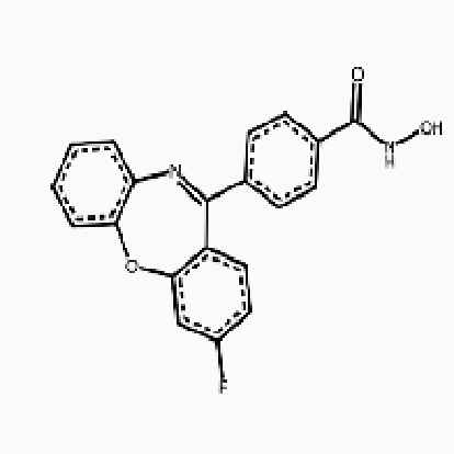 O=C(NO)c1ccc(C2=Nc3ccccc3Oc3cc(F)ccc32)cc1